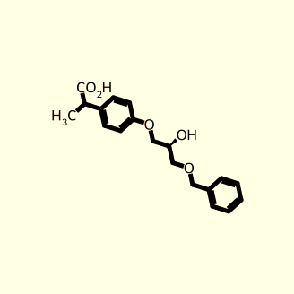 CC(C(=O)O)c1ccc(OC[C@@H](O)COCc2ccccc2)cc1